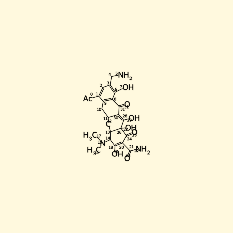 CC(=O)c1cc(CN)c(O)c2c1CC1CC3C(N(C)C)C(O)=C(C(N)=O)C(=O)C3(O)C(O)=C1C2=O